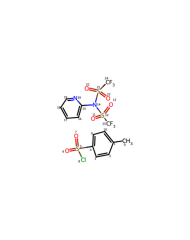 Cc1ccc(S(=O)(=O)Cl)cc1.O=S(=O)(N(c1ccccn1)S(=O)(=O)C(F)(F)F)C(F)(F)F